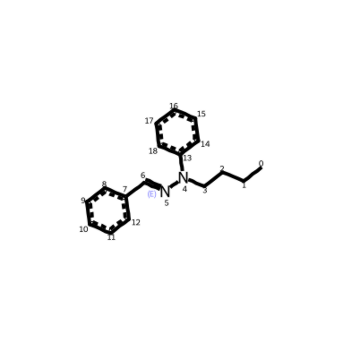 CCCCN(/N=C/c1ccccc1)c1ccccc1